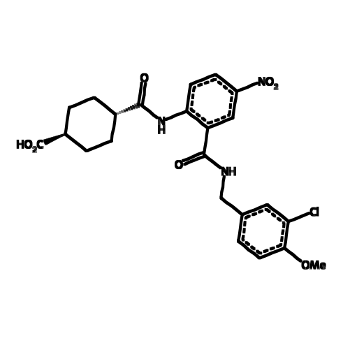 COc1ccc(CNC(=O)c2cc([N+](=O)[O-])ccc2NC(=O)[C@H]2CC[C@H](C(=O)O)CC2)cc1Cl